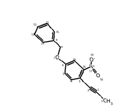 CC#Cc1ccc(OCc2ccccc2)cc1[N+](=O)[O-]